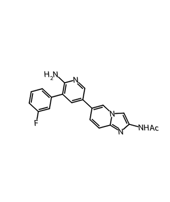 CC(=O)Nc1cn2cc(-c3cnc(N)c(-c4cccc(F)c4)c3)ccc2n1